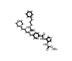 CC(C)(C)OC(=O)Nc1cscc1NC(=O)c1ccc(CN(CCCN2CCOCC2)C(=O)NCCCc2ccccc2)cn1